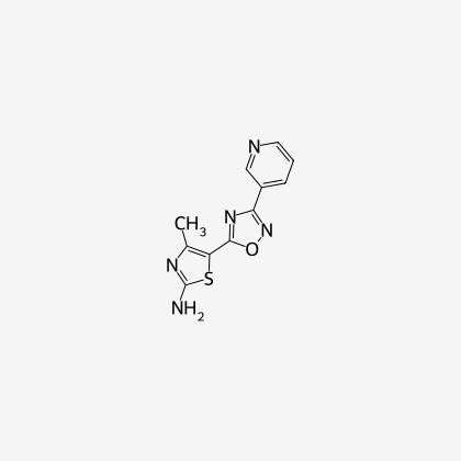 Cc1nc(N)sc1-c1nc(-c2cccnc2)no1